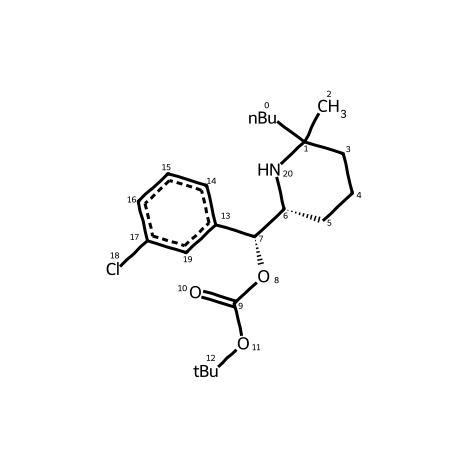 CCCCC1(C)CCC[C@H]([C@H](OC(=O)OC(C)(C)C)c2cccc(Cl)c2)N1